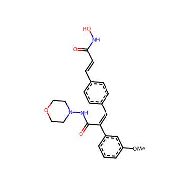 COc1cccc(C(=Cc2ccc(C=CC(=O)NO)cc2)C(=O)NN2CCOCC2)c1